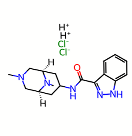 CN1C[C@H]2CC(NC(=O)c3n[nH]c4ccccc34)C[C@@H](C1)N2C.[Cl-].[Cl-].[H+].[H+]